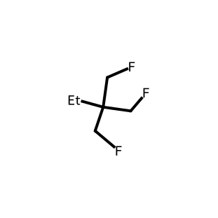 CCC(CF)(CF)CF